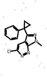 Cn1nc(C2(c3ccccc3)CC2)c2cc(Cl)nnc21